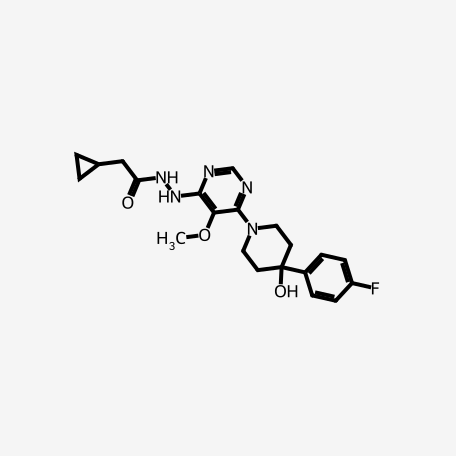 COc1c(NNC(=O)CC2CC2)ncnc1N1CCC(O)(c2ccc(F)cc2)CC1